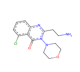 NCCc1nc2cccc(Cl)c2c(=O)n1N1CCOCC1